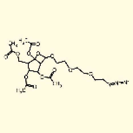 CC(=O)OCC1C(OC(C)=O)C(OC(C)=O)C2C(OCCOCCOCCN=[N+]=[N-])OC12OC(C)=O